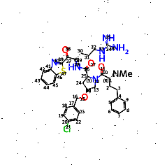 CN[C@H](CCc1ccccc1)C(=O)N1C[C@H](OCc2ccc(Cl)cc2)C[C@H]1C(=O)N[C@@H](CCCNC(=N)N)C(=O)c1nc2ccccc2s1